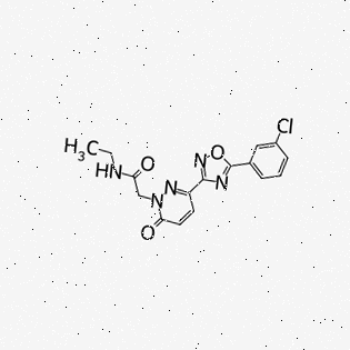 CCNC(=O)Cn1nc(-c2noc(-c3cccc(Cl)c3)n2)ccc1=O